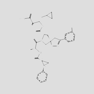 CNC(=O)C(=O)[C@H](CC1CC1)NC(=O)[C@@H]1C[C@]2(CC(c3cccc(Cl)c3)=NO2)CN1C(=O)[C@@H](NC(=O)[C@H]1C[C@H]1c1ccccc1)C(C)(C)C